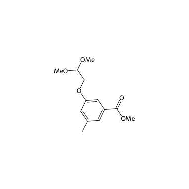 COC(=O)c1cc(C)cc(OCC(OC)OC)c1